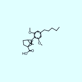 CCCCCc1cc(OC)c(C2=CC3(C(=O)O)CCC2C3(C)C)c(OC)c1